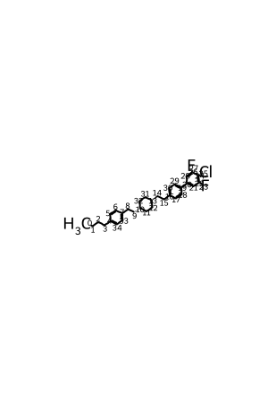 CCCCc1ccc(CC[C@H]2CC[C@H](CCc3ccc(-c4cc(F)c(Cl)c(F)c4)cc3)CC2)cc1